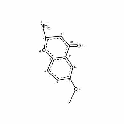 COc1ccc2oc(N)cc(=O)c2c1